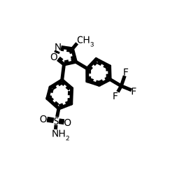 Cc1noc(-c2ccc(S(N)(=O)=O)cc2)c1-c1ccc(C(F)(F)F)cc1